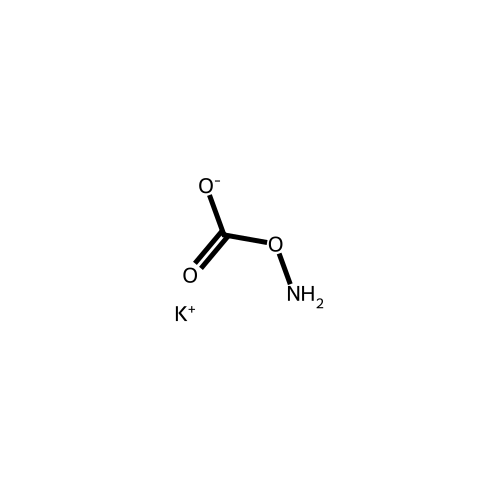 NOC(=O)[O-].[K+]